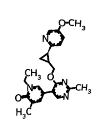 CCn1cc(-c2cnc(C)nc2OCC2C[C@H]2c2ccc(OC)cn2)cc(C)c1=O